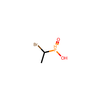 CC(Br)[PH](=O)O